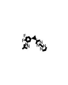 Cc1cnn(-c2cc([C@@H]3C[C@H]3c3cnc(-c4ncccn4)nc3)cc(F)c2F)c1